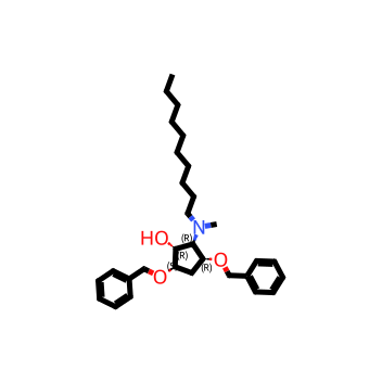 CCCCCCCCCCN(C)[C@@H]1[C@@H](O)[C@@H](OCc2ccccc2)C[C@H]1OCc1ccccc1